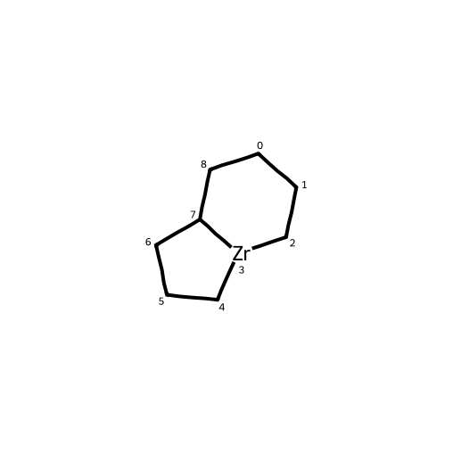 C1C[CH2][Zr]2[CH2]CC[CH]2C1